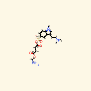 CN(C)CCc1cn(C)c2ccc(S(=O)(=O)OC(=O)CCC(=O)OCN)cc12